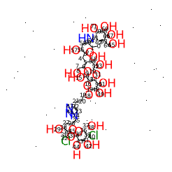 CC1OC(CC2C(CO)OC(OC3C(CO)OC(OCCCc4cn(C[C@@H]5C[C@H](O)[C@](CCl)(O[C@H]6O[C@H](CO)[C@H](Cl)[C@H](O)[C@H]6O)O5)nn4)C(O)C3O)C(O)C2O)[C@@H](O)C[C@@H]1N[C@H]1C=C(CO)[C@@H](O)[C@H](O)[C@H]1O